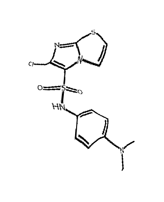 CN(C)c1ccc(NS(=O)(=O)c2c(Cl)nc3sccn23)cc1